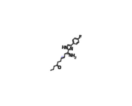 CCCC(=O)CC/C=C/C[C@H](N)c1nc(-c2ccc(F)cc2)c[nH]1